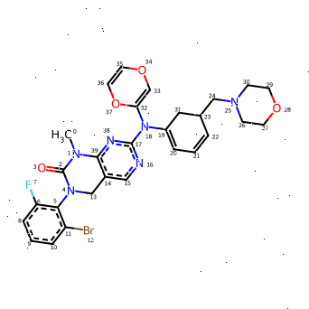 CN1C(=O)N(c2c(F)cccc2Br)Cc2cnc(N(C3=CC=CC(CN4CCOCC4)C3)C3=COC=CO3)nc21